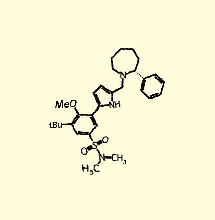 COc1c(-c2ccc(CN3CCCCC[C@@H]3c3ccccc3)[nH]2)cc(S(=O)(=O)N(C)C)cc1C(C)(C)C